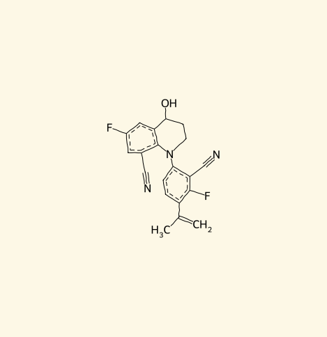 C=C(C)c1ccc(N2CCC(O)c3cc(F)cc(C#N)c32)c(C#N)c1F